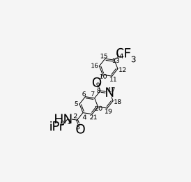 CC(C)NC(=O)c1ccc2c(Oc3ccc(C(F)(F)F)cc3)nccc2c1